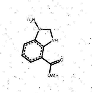 COC(=O)c1cccc2c1NCN2N